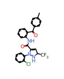 Cc1ccc(C(=O)c2ccccc2NC(=O)C2=CC(C(F)(F)F)NN2c2ccccc2Cl)cc1